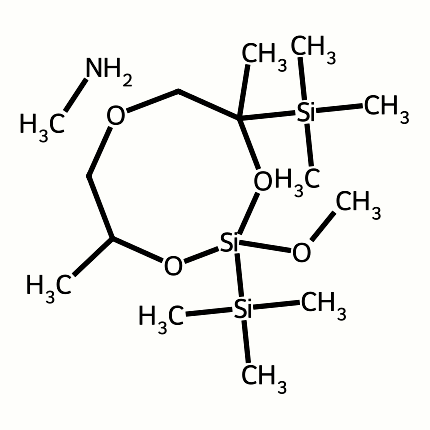 CN.CO[Si]1([Si](C)(C)C)OC(C)COCC(C)([Si](C)(C)C)O1